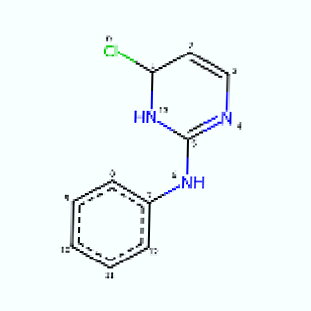 ClC1C=CN=C(Nc2ccccc2)N1